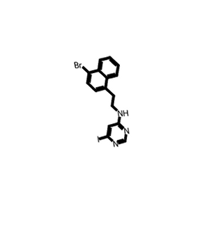 Brc1ccc(CCNc2cc(I)ncn2)c2ccccc12